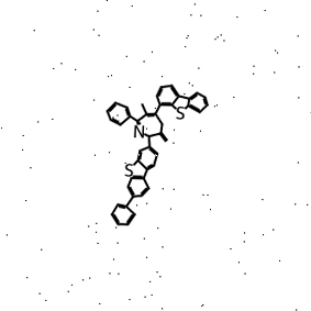 C=C1CC(c2cccc3c2sc2ccccc23)=C(C)C(c2ccccc2)=NC1c1ccc2c(c1)sc1cc(-c3ccccc3)ccc12